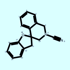 N#CN1Cc2ccccc2C2(Cc3ccccc3O2)C1